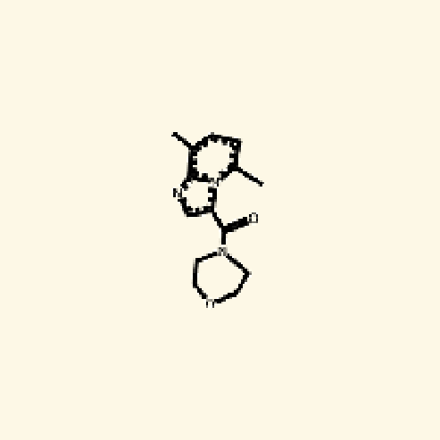 Cc1ccc(C)n2c(C(=O)N3CCOCC3)cnc12